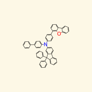 c1ccc(-c2ccc(N(c3ccc(-c4cccc5c4oc4ccccc45)cc3)c3ccc4c(c3)C(c3ccccc3)(c3ccccc3)c3ccccc3-4)cc2)cc1